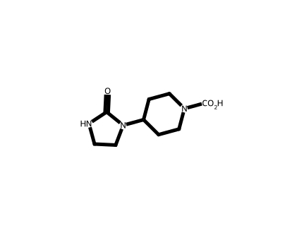 O=C(O)N1CCC(N2CCNC2=O)CC1